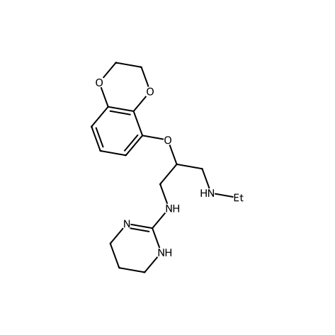 CCNCC(CNC1=NCCCN1)Oc1cccc2c1OCCO2